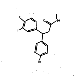 CNC(=O)CC(c1ccc(Br)cc1)c1ccc(F)c(F)c1